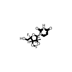 C[C@@]12OSO[C@@H]1[C@@](F)(CO)O[C@H]2n1ccc(=O)[nH]c1=O